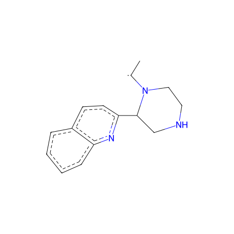 C[CH]N1CCNCC1c1ccc2ccccc2n1